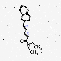 CCN(CC)C(=O)/C=C/C=C/c1ccc2ncccc2c1